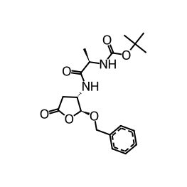 C[C@@H](NC(=O)OC(C)(C)C)C(=O)N[C@H]1CC(=O)O[C@@H]1OCc1ccccc1